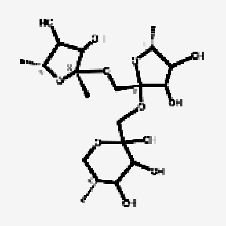 C[C@@H]1COC(O)(CO[C@]2(CO[C@]3(C)O[C@H](C)C(O)C3O)O[C@H](C)C(O)C2O)C(O)C1O